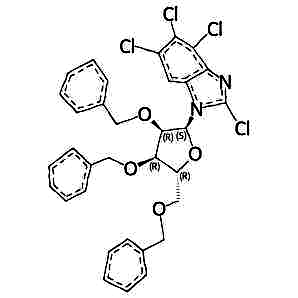 Clc1cc2c(nc(Cl)n2[C@H]2O[C@H](COCc3ccccc3)[C@@H](OCc3ccccc3)[C@H]2OCc2ccccc2)c(Cl)c1Cl